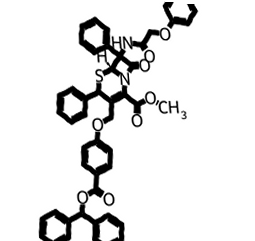 COC(=O)C1=C(COc2ccc(C(=O)OC(c3ccccc3)c3ccccc3)cc2)C(c2ccccc2)S[C@@H]2N1C(=O)C2(NC(=O)COc1ccccc1)c1ccccc1